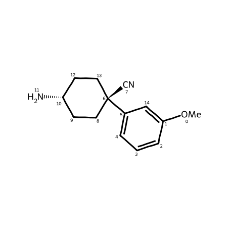 COc1cccc([C@]2(C#N)CC[C@H](N)CC2)c1